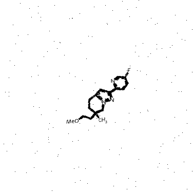 COCCC1(C)CCc2cc(-c3ccc(F)cn3)nn2C1